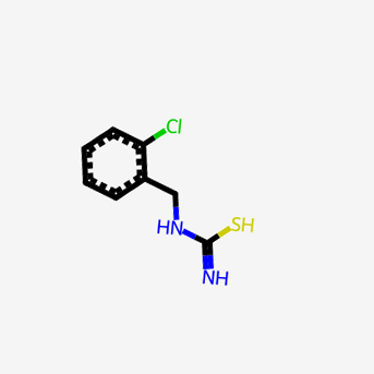 N=C(S)NCc1ccccc1Cl